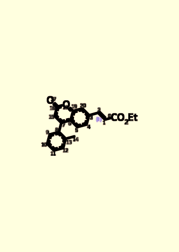 CCOC(=O)/C=C/c1ccc2c(-c3ccccc3C)cc(=O)oc2c1